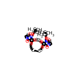 C[Si](C)(C)CCOCN1C(=O)[C@@H]2CCCN2C(=O)c2cc3c(cc21)OCCCOc1cc2c(cc1OCCCC/C=C/CCCCO3)C(=O)N1CCC[C@H]1C(=O)N2COCC[Si](C)(C)C